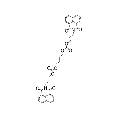 O=C(OCCCCOC(=O)OCCCN1C(=O)c2cccc3cccc(c23)C1=O)OCCCN1C(=O)c2cccc3cccc(c23)C1=O